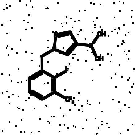 OB(O)c1cnn(Cc2cccc(C(F)(F)F)c2F)c1